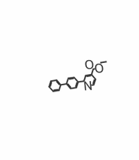 CCOC(=O)c1ccnc(-c2ccc(-c3ccccc3)cc2)c1